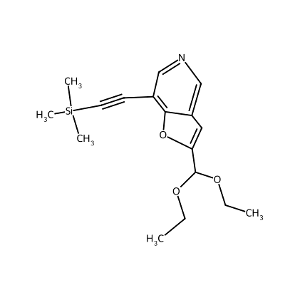 CCOC(OCC)c1cc2cncc(C#C[Si](C)(C)C)c2o1